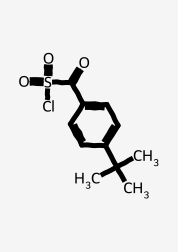 CC(C)(C)c1ccc(C(=O)S(=O)(=O)Cl)cc1